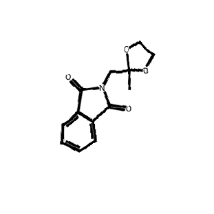 CC1(CN2C(=O)c3ccccc3C2=O)OCCO1